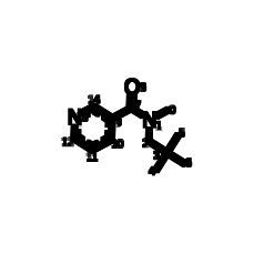 CN(CC(C)(C)C)C(=O)c1cccnc1